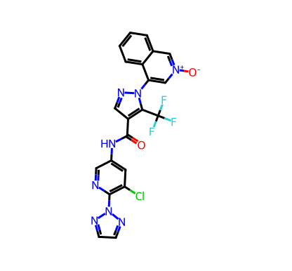 O=C(Nc1cnc(-n2nccn2)c(Cl)c1)c1cnn(-c2c[n+]([O-])cc3ccccc23)c1C(F)(F)F